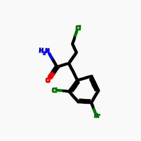 NC(=O)C(CCCl)c1ccc(Br)cc1Cl